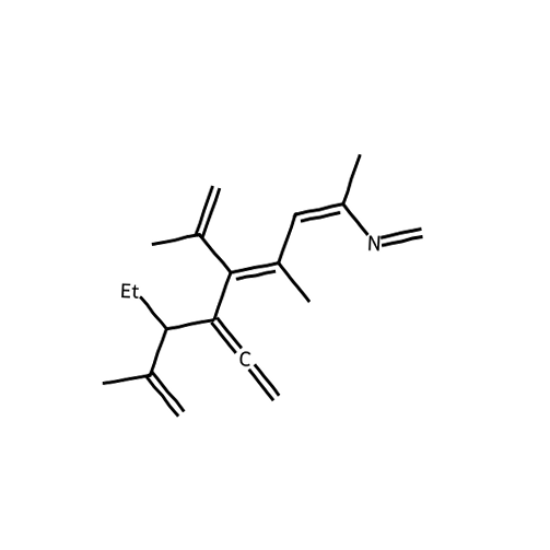 C=C=C(/C(C(=C)C)=C(C)/C=C(/C)N=C)C(CC)C(=C)C